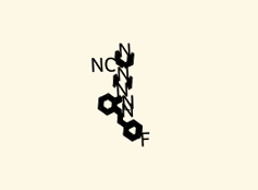 N#Cc1cnccc1N1CCN(c2nnc(Cc3ccc(F)cc3)c3c2CCCC3)CC1